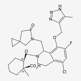 Cc1[nH]nnc1COc1c(F)cc(Cl)c2c1C(CN1CC3(CC3)CC1=O)N(C(=O)[C@@H]1CCCC[C@]1(C)C(=O)O)CC2